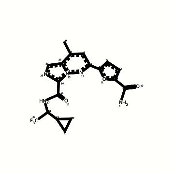 Cc1cc(-c2ccc(C(N)=O)o2)nn2c(C(=O)NC(C3CC3)C(F)(F)F)ncc12